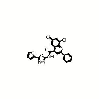 O=C(Nc1nnc(-c2ccco2)o1)c1cc(-c2ccccc2)nc2c(Cl)cc(Cl)cc12